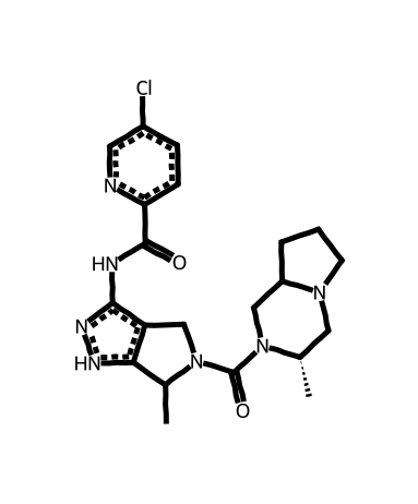 CC1c2[nH]nc(NC(=O)c3ccc(Cl)cn3)c2CN1C(=O)N1CC2CCCN2C[C@@H]1C